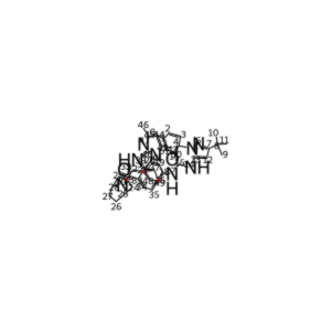 Cc1ccc(-n2nc(C(C)(C)C)cc2NC(=O)Nc2ccc(CC3CC4CCC(C3)N4C(=O)c3ccccc3Nc3nc(C)cc(C)n3)cc2)cc1